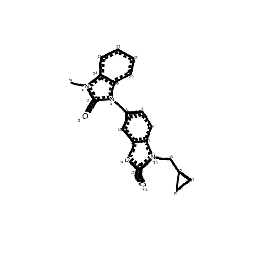 Cn1c(=O)n(-c2ccc3c(c2)oc(=O)n3CC2CC2)c2ccccc21